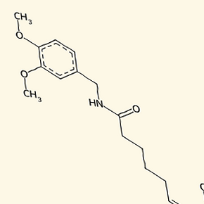 COc1ccc(CNC(=O)CCCC/C=C\C(C)C)cc1OC